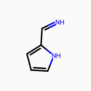 N=Cc1ccc[nH]1